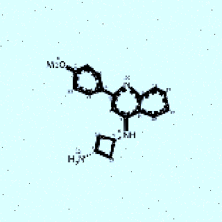 COc1ccc(-c2cc(N[C@H]3C[C@@H](N)C3)c3ccccc3n2)cc1